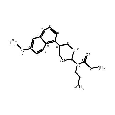 CCCN(C(=O)CN)C1OCC(c2cccc3cc(OC)ccc23)CO1